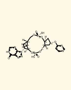 O=c1[nH]cnc2c1nnn2[C@@H]1C[C@@H]2CO[P@](=O)(S)O[C@H]3C[C@H](Oc4ccncn4)C[C@@H]3CO[P@@](=O)(S)O[C@@H]1[C@@H]2O